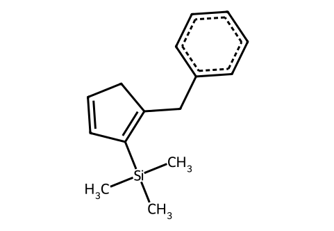 C[Si](C)(C)C1=C(Cc2ccccc2)CC=C1